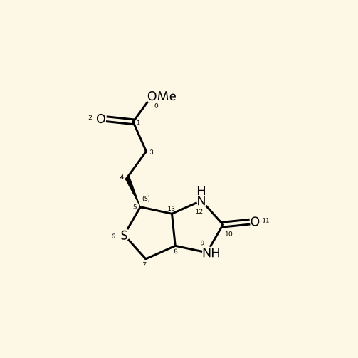 COC(=O)CC[C@@H]1SCC2NC(=O)NC21